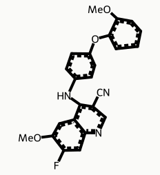 COc1cc2c(Nc3ccc(Oc4ccccc4OC)cc3)c(C#N)cnc2cc1F